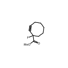 COC(=O)C1(F)C#CCCCCC1